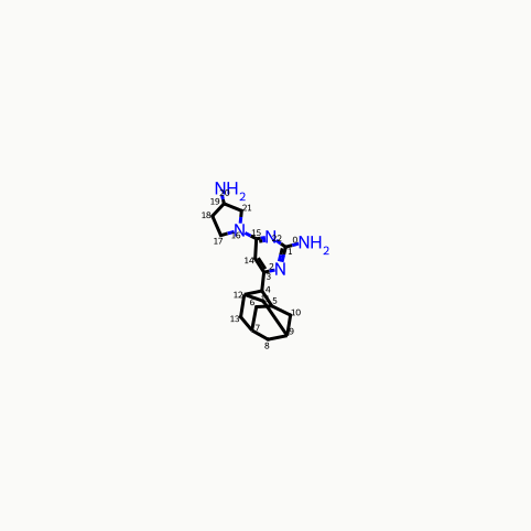 Nc1nc(C2C3CC4CC(C3)CC2C4)cc(N2CCC(N)C2)n1